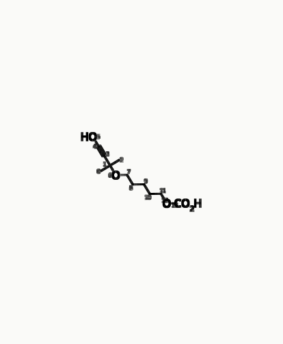 CC(C)(C#CO)OCCCCCOC(=O)O